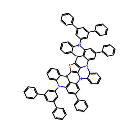 c1ccc(-c2cc(-c3ccccc3)cc(N3c4ccccc4B4c5sc6c7c5N(c5ccccc5N7c5cc(-c7ccccc7)cc7c5B6c5ccccc5N7c5cc(-c6ccccc6)cc(-c6ccccc6)c5)c5cc(-c6ccccc6)cc3c54)c2)cc1